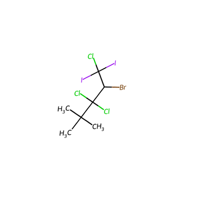 CC(C)(C)C(Cl)(Cl)C(Br)C(Cl)(I)I